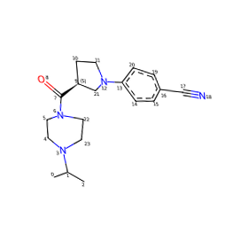 CC(C)N1CCN(C(=O)[C@H]2CCN(c3ccc(C#N)cc3)C2)CC1